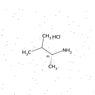 CC(C)[C@@H](C)N.Cl